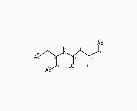 CC(=O)CC(C)CC(=O)NC(CC(C)=O)CC(C)=O